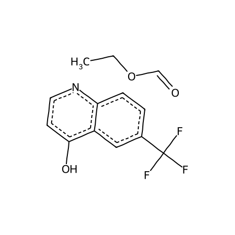 CCOC=O.Oc1ccnc2ccc(C(F)(F)F)cc12